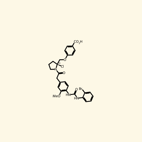 COc1cc(CC(=O)N2CCC[C@]2(Cl)COc2ccc(C(=O)O)cc2)ccc1NC(=O)Nc1ccccc1Br